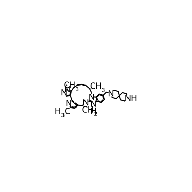 C=C1/N=C2\Nc3ccc(CN4CCC5(CCNCC5)CC4)cc3N2C[C@H](C)CCCCc2c(cnn2C)-c2cc1cc(C)n2